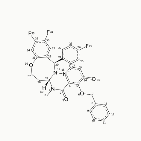 CN1C(=O)c2c(OCc3ccccc3)c(=O)ccn2N2[C@H](c3ccc(F)cc3)c3cc(F)c(F)cc3OCC[C@@H]12